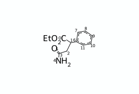 CCOC(=O)C(CC(N)=O)c1ccccc1